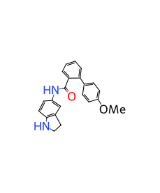 COc1ccc(-c2ccccc2C(=O)Nc2ccc3c(c2)CCN3)cc1